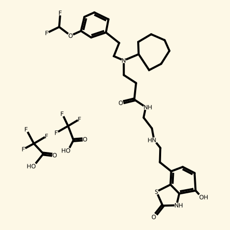 O=C(CCN(CCc1cccc(OC(F)F)c1)C1CCCCCC1)NCCNCCc1ccc(O)c2[nH]c(=O)sc12.O=C(O)C(F)(F)F.O=C(O)C(F)(F)F